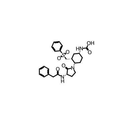 O=C(O)N[C@@H]1CC[C@H](N2CC[C@H](NC(=O)Cc3ccccc3)C2=O)[C@H](CS(=O)(=O)c2ccccc2)C1